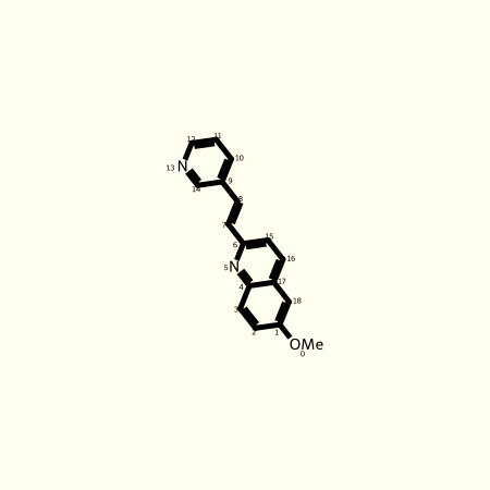 COc1ccc2nc(/C=C/c3cccnc3)ccc2c1